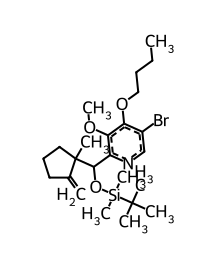 C=C1CCCC1(C)C(O[Si](C)(C)C(C)(C)C)c1ncc(Br)c(OCCCC)c1OC